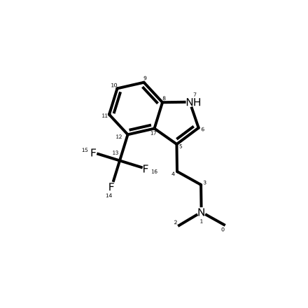 CN(C)CCc1c[nH]c2cccc(C(F)(F)F)c12